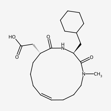 CN1CCCC=CCCC[C@H](CC(=O)O)C(=O)N[C@@H](CC2CCCCC2)C1=O